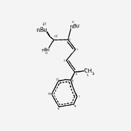 CCCCC(=[C]C=C(C)c1ccccc1)C(CCCC)CCCC